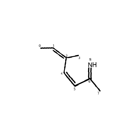 C/C=C(C)\C=C/C(C)=N